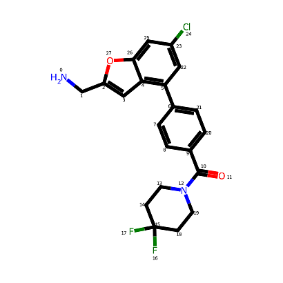 NCc1cc2c(-c3ccc(C(=O)N4CCC(F)(F)CC4)cc3)cc(Cl)cc2o1